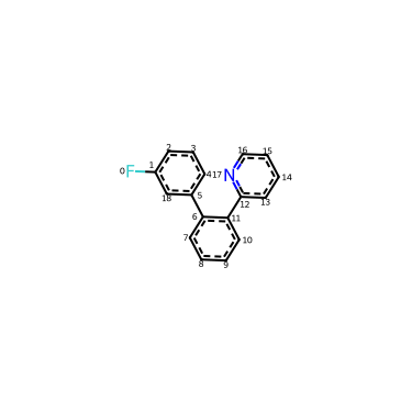 Fc1cccc(-c2ccccc2-c2ccccn2)c1